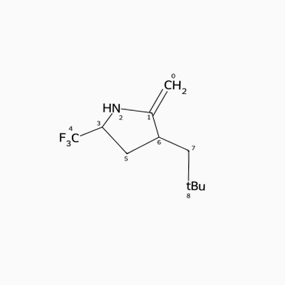 C=C1NC(C(F)(F)F)CC1CC(C)(C)C